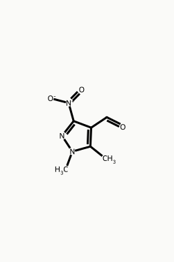 Cc1c(C=O)c([N+](=O)[O-])nn1C